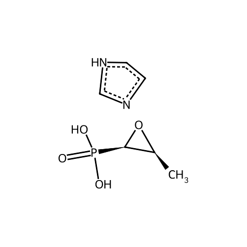 C[C@@H]1O[C@@H]1P(=O)(O)O.c1c[nH]cn1